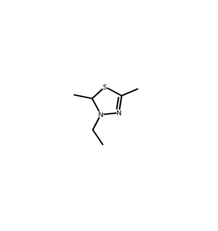 CCN1N=C(C)SC1C